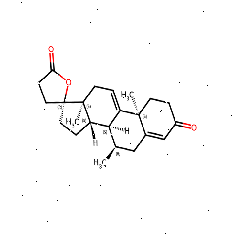 C[C@@H]1CC2=CC(=O)CC[C@]2(C)C2=CC[C@@]3(C)[C@@H](CC[C@@]34CCC(=O)O4)[C@@H]21